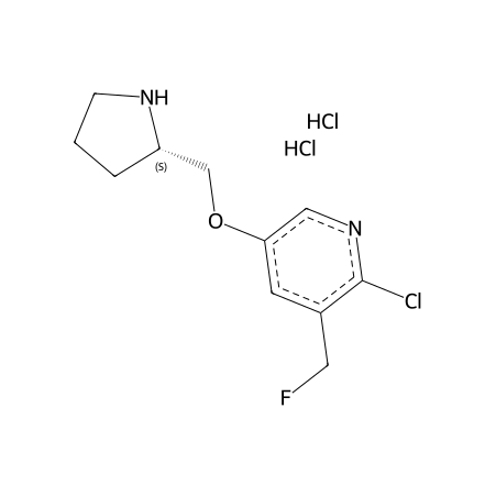 Cl.Cl.FCc1cc(OC[C@@H]2CCCN2)cnc1Cl